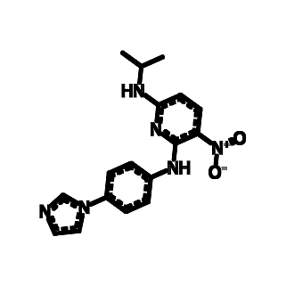 CC(C)Nc1ccc([N+](=O)[O-])c(Nc2ccc(-n3ccnc3)cc2)n1